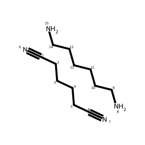 N#CCCCCC#N.NCCCCCCN